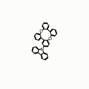 c1ccc2c(c1)Oc1ccccc1-c1cc(-n3c4ccccc4c4ccccc43)ccc1Oc1ccccc1-2